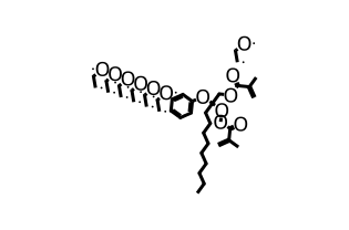 C=C(C)C(=O)OCC(CCCCCCCCC)(OOC(=O)C(=C)C)Oc1ccccc1.[CH2]C[O].[CH2]C[O].[CH2]C[O].[CH2]C[O].[CH2]C[O].[CH2]C[O].[CH2]C[O]